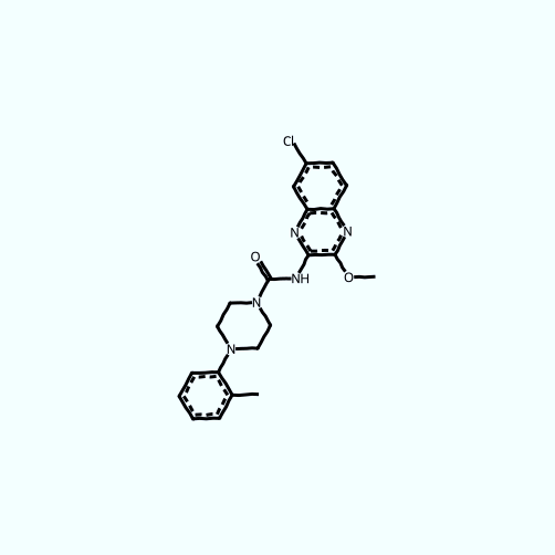 COc1nc2ccc(Cl)cc2nc1NC(=O)N1CCN(c2ccccc2C)CC1